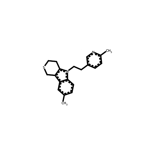 Cc1ccc2c(c1)c1c(n2CCc2ccc(C)nc2)CCSC1